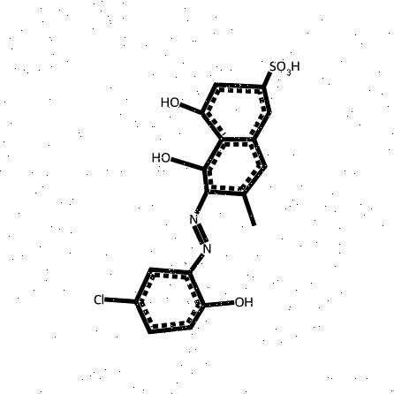 Cc1cc2cc(S(=O)(=O)O)cc(O)c2c(O)c1/N=N/c1cc(Cl)ccc1O